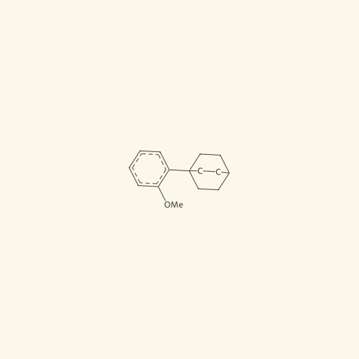 COc1ccccc1C12CCC(CC1)CC2